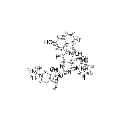 [2H]C([2H])([2H])N1CC/C(=C\F)[C@](C)(C([2H])([2H])Oc2nc(N3C[C@H]4CC[C@@H](C3)N4)c3c(C#C)nc(-c4cc(O)cc5ccc(F)c(C#C)c45)c(F)c3n2)C1